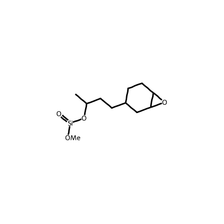 CO[Si](=O)OC(C)CCC1CCC2OC2C1